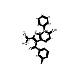 Cc1cccc(C(=O)c2c(C(=O)O)sc3c2ccc(=O)n3-c2ccccc2)c1